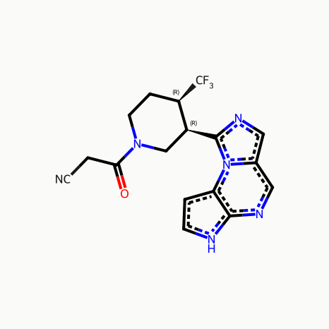 N#CCC(=O)N1CC[C@@H](C(F)(F)F)[C@@H](c2ncc3cnc4[nH]ccc4n23)C1